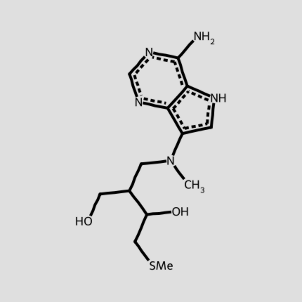 CSCC(O)C(CO)CN(C)c1c[nH]c2c(N)ncnc12